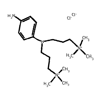 C[N+](C)(C)CCCN(CCC[N+](C)(C)C)c1ccc(N)cc1.[Cl-].[Cl-]